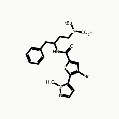 Cn1nccc1-c1sc(C(=O)NC(CCN(C(=O)O)C(C)(C)C)Cc2ccccc2)cc1Br